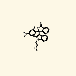 COCCn1c(C)c(C2(c3ccc(N(C)C)cc3C)OC(=O)c3ccccc32)c2ccccc21